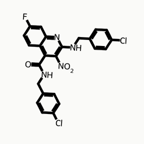 O=C(NCc1ccc(Cl)cc1)c1c([N+](=O)[O-])c(NCc2ccc(Cl)cc2)nc2cc(F)ccc12